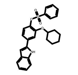 O=S(=O)(Oc1ccc(-c2cc3ccccc3[nH]2)cc1OC1CCCCC1)c1ccccc1